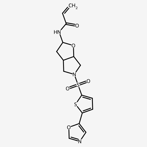 C=CC(=O)NC1CC2CN(S(=O)(=O)c3ccc(-c4cnco4)s3)CC2O1